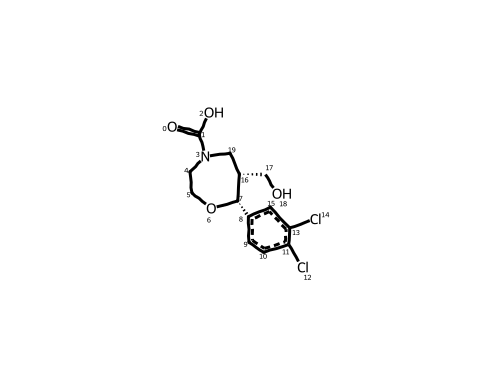 O=C(O)N1CCO[C@@H](c2ccc(Cl)c(Cl)c2)[C@@H](CO)C1